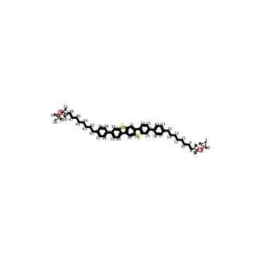 C[Si](C)(C)O[Si](C)(C)CCCCCCCCc1ccc(-c2ccc3c(c2)sc2cc4c(cc23)sc2cc(-c3ccc(CCCCCCCC[Si](C)(C)O[Si](C)(C)C)cc3)ccc24)cc1